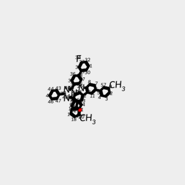 Cc1cccc(-c2ccc3c(c2)c2cc(-c4cccc(C)c4)ccc2n3-c2cc(-c3cccc(F)c3)ccc2-c2nc(-c3ccccc3)nc(-c3ccccc3)n2)c1